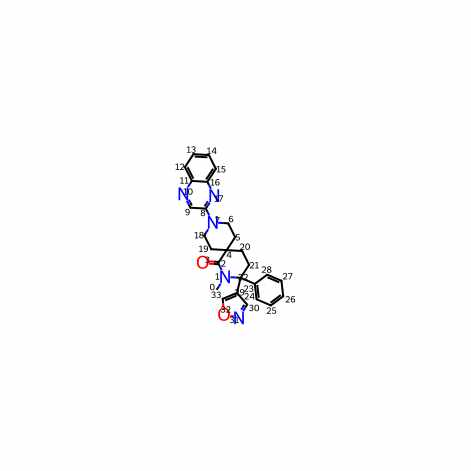 CN1C(=O)C2(CCN(c3cnc4ccccc4n3)CC2)CCC1(c1ccccc1)c1cnoc1